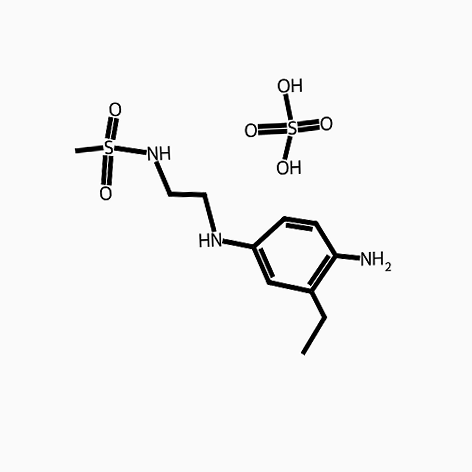 CCc1cc(NCCNS(C)(=O)=O)ccc1N.O=S(=O)(O)O